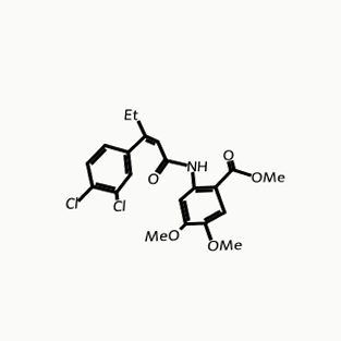 CC/C(=C/C(=O)Nc1cc(OC)c(OC)cc1C(=O)OC)c1ccc(Cl)c(Cl)c1